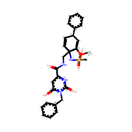 CS(=O)(=O)NC1(CNC(=O)c2cc(=O)n(Cc3ccccc3)c(=O)[nH]2)C=CC(c2ccccc2)C=C1OC(F)(F)F